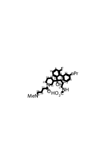 CCCc1cccc(-c2c(F)cccc2[C@](O)(CCCNC(=O)O)C2CCCN(C(=O)CCCNC)C2)c1